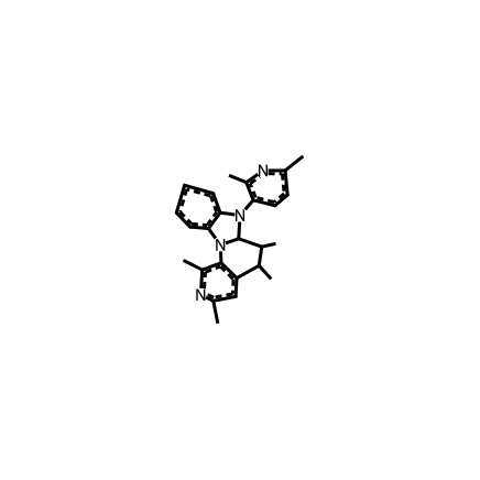 Cc1ccc(N2c3ccccc3N3c4c(cc(C)nc4C)C(C)C(C)C23)c(C)n1